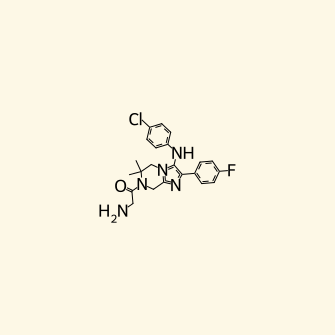 CC1(C)Cn2c(nc(-c3ccc(F)cc3)c2Nc2ccc(Cl)cc2)CN1C(=O)CN